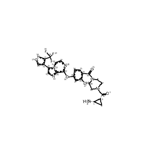 N[C@H]1C[C@H]1C(=O)N1CCN(C(=O)c2ccc(Oc3nccn4c(-c5conc5C(F)(F)F)cnc34)cc2O)CC1